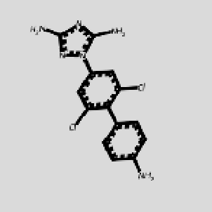 Nc1ccc(-c2c(Cl)cc(-n3nc(N)nc3N)cc2Cl)cc1